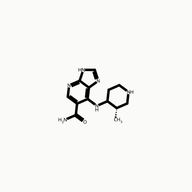 C[C@H]1CNCCC1Nc1c(C(N)=O)cnc2[nH]cnc12